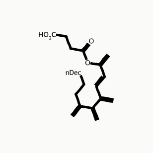 C=C(C=CC(=C)C(=C)C(=C)CCCCCCCCCCCC)OC(=O)CCC(=O)O